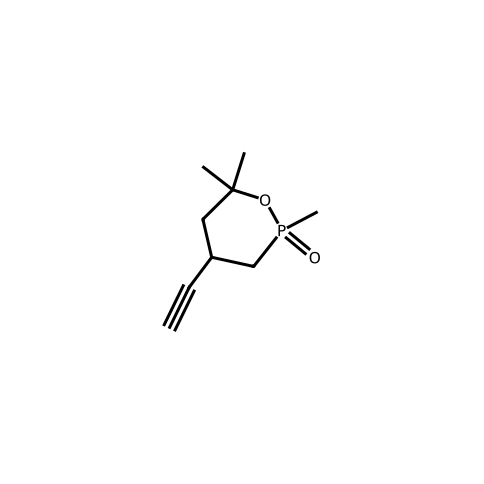 C#CC1CC(C)(C)OP(C)(=O)C1